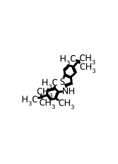 Cc1cc(C(C)(C)C)cc(C)c1Nc1cc2cc(C(C)(C)C)ccc2s1